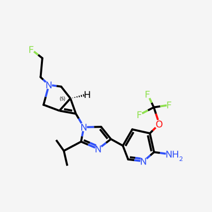 CC(C)c1nc(-c2cnc(N)c(OC(F)(F)F)c2)cn1C1=C2CN(CCF)C[C@H]21